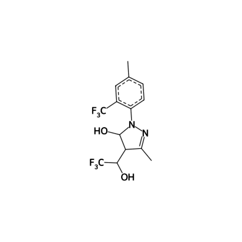 CC1=NN(c2ccc(C)cc2C(F)(F)F)C(O)C1C(O)C(F)(F)F